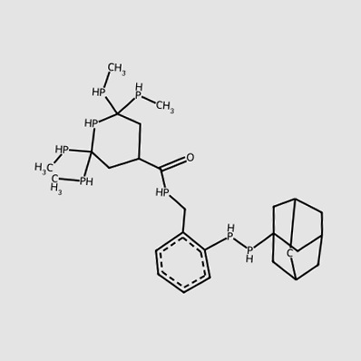 CPC1(PC)CC(C(=O)PCc2ccccc2PPC23CC4CC(CC(C4)C2)C3)CC(PC)(PC)P1